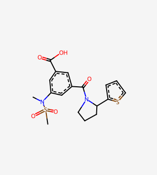 CN(c1cc(C(=O)O)cc(C(=O)N2CCCC2c2cccs2)c1)S(C)(=O)=O